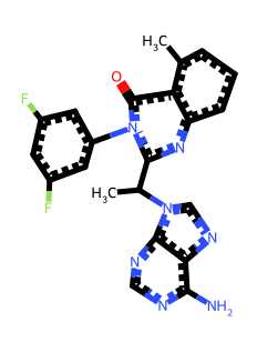 Cc1cccc2nc(C(C)n3cnc4c(N)ncnc43)n(-c3cc(F)cc(F)c3)c(=O)c12